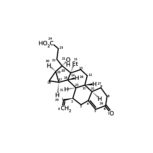 C=C[C@@H]1CC2=CC(=O)CC[C@@H]2[C@H]2CC[C@@]3(CC)[C@@H]([C@H]4C[C@H]4[C@@]3(O)CCC(=O)O)[C@@H]21